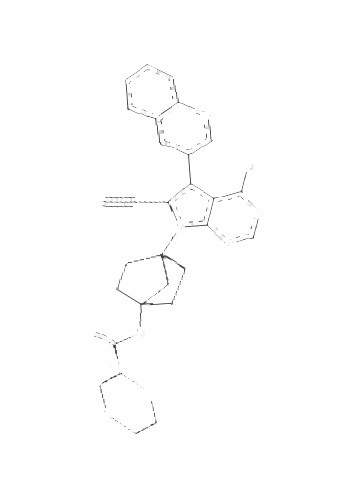 C#Cc1c(-c2cnc3ccccc3c2)c2c(N)ncnc2n1C12CCC(NC(=O)[C@@H]3CNCCO3)(CC1)C2